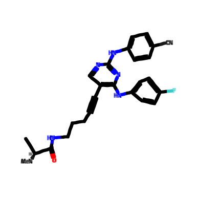 CN[C@@H](C)C(=O)NCCCC#Cc1cnc(Nc2ccc(C#N)cc2)nc1Nc1ccc(F)cc1